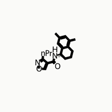 CCCc1nocc1C(=O)N[C@@H]1CCCc2c(C)cc(C)cc21